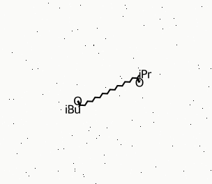 CCC(C)C(=O)CCCCCCCCCCCCCCC(=O)C(C)C